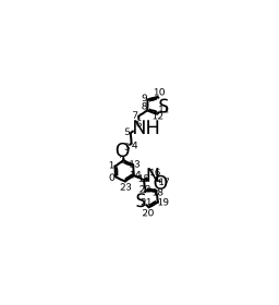 c1cc(OCCNCc2ccsc2)cc(-c2noc3ccsc23)c1